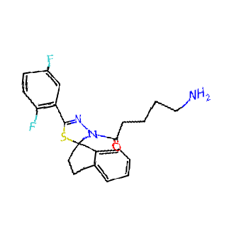 NCCCCC(=O)N1N=C(c2cc(F)ccc2F)SC12CCc1ccccc12